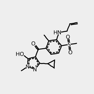 C=CCNc1c(S(C)(=O)=O)ccc(C(=O)c2c(C3CC3)nn(C)c2O)c1C